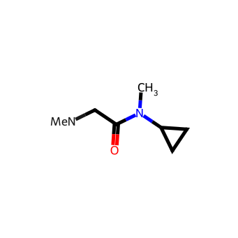 CNCC(=O)N(C)C1CC1